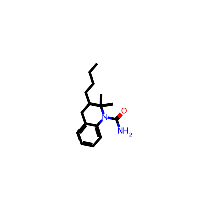 CCCCC1Cc2ccccc2N(C(N)=O)C1(C)C